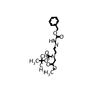 COC(=O)CN(C/C=N/NC(=O)OCc1ccccc1)C(=O)OC(C)(C)C